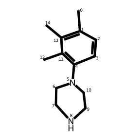 Cc1ccc(N2CCNCC2)c(C)c1C